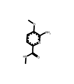 CNC(=O)c1ccc(OC)c(N)n1